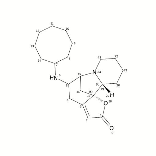 O=C1C=C2CC(NC3CCCCCCC3)C3C[C@@]2(O1)[C@H]1CCCCN31